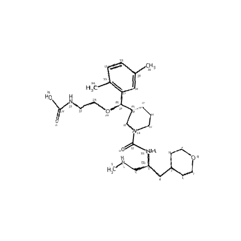 CNC[C@H](CC1CCOCC1)NC(=O)N1CCC[C@@H]([C@@H](OCCNC(=O)O)c2cc(C)ccc2C)C1